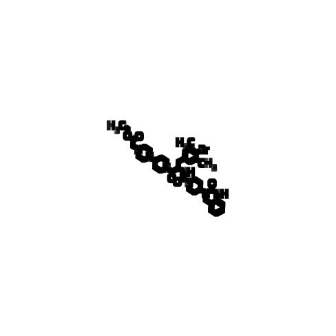 CCOC(=O)CN1CCN(C2CCN(C(=O)C(Cc3cc(C)c(Br)c(C)c3)NC(=O)N3CCC(N4Cc5ccccc5NC4=O)CC3)CC2)CC1